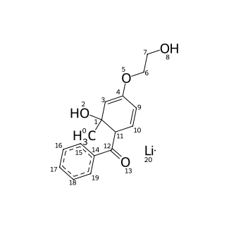 CC1(O)C=C(OCCO)C=CC1C(=O)c1ccccc1.[Li]